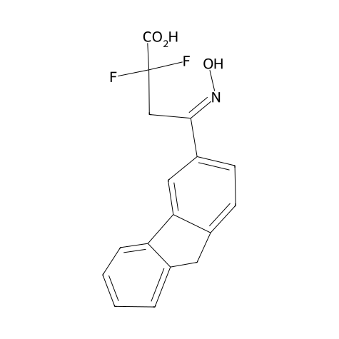 O=C(O)C(F)(F)C/C(=N\O)c1ccc2c(c1)-c1ccccc1C2